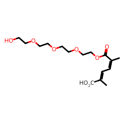 CC(=CC=C(C)C(=O)OCCOCCOCCOCCO)C(=O)O